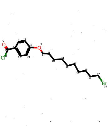 O=C(Cl)c1ccc(OCCCCCCCCCCBr)cc1